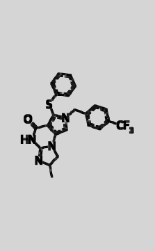 CC1CN2C(=N1)NC(=O)c1c2cn(Cc2ccc(C(F)(F)F)cc2)c1Sc1ccccc1